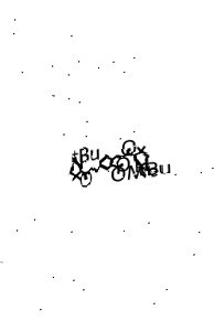 COC(=O)c1cc(/C=C/C(=O)C2=CN(C(C)(C)C)CCC2(C)C)ccc1/C=C/C(=O)C1=CN(C(C)(C)C)CCC1(C)C